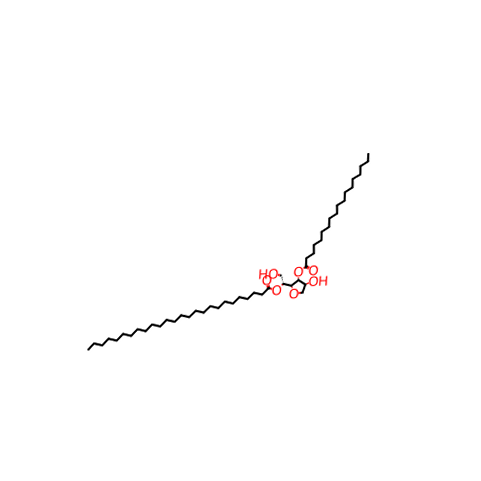 CCCCCCCCCCCCCCCCCCCCCCCCCC(=O)O[C@H](CO)[C@H]1OC[C@H](O)[C@H]1OC(=O)CCCCCCCCCCCCCCCCC